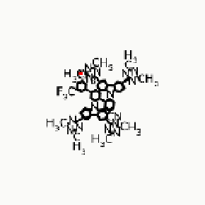 Cc1nc(C)nc(-c2ccc3c(c2)c2cc(-c4nc(C)nc(C)n4)ccc2n3-c2ccc(C#N)cc2-c2ccc(-c3cc(C(F)(F)F)cc(C(F)(F)F)c3)cc2-n2c3ccc(-c4nc(C)nc(C)n4)cc3c3cc(-c4nc(C)nc(C)n4)ccc32)n1